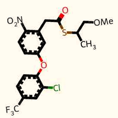 COCC(C)SC(=O)Cc1cc(Oc2ccc(C(F)(F)F)cc2Cl)ccc1[N+](=O)[O-]